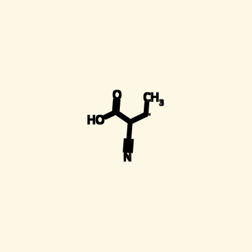 C[CH]C(C#N)C(=O)O